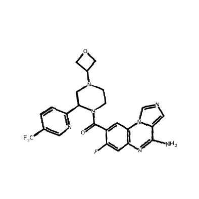 Nc1nc2cc(F)c(C(=O)N3CCN(C4COC4)CC3c3ccc(C(F)(F)F)cn3)cc2n2cncc12